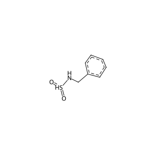 O=[SH](=O)NCc1ccccc1